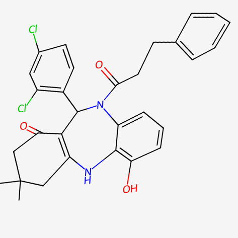 CC1(C)CC(=O)C2=C(C1)Nc1c(O)cccc1N(C(=O)CCc1ccccc1)C2c1ccc(Cl)cc1Cl